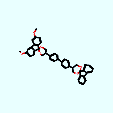 COc1ccc2c(c1)-c1cc(OC)ccc1C21OCC(c2ccc(-c3ccc(C4COC5(OC4)c4ccccc4-c4ccccc45)cc3)cc2)CO1